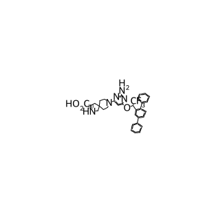 Nc1nc(OC(c2cc(-c3ccccc3)ccc2-c2ccccc2)C(F)(F)F)cc(N2CCC3(CC2)CN[C@H](C(=O)O)C3)n1